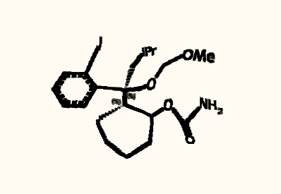 COCO[C@](CC(C)C)(c1ccccc1I)[C@H]1CCCCC1OC(N)=O